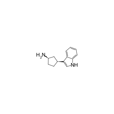 N[C@@H]1CC[C@H](c2c[nH]c3ccccc23)C1